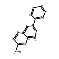 CNc1ccc2cc(-c3ccccc3)cnc2c1